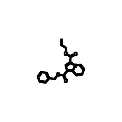 C=CCOC(=O)c1cc(C(=O)OCc2ccccc2)c2ccccn12